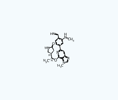 CNc1cc(-c2cc3ncn(C)c3c(O[C@H](C)[C@H]3CNC(=O)C3)n2)ccc1C=N